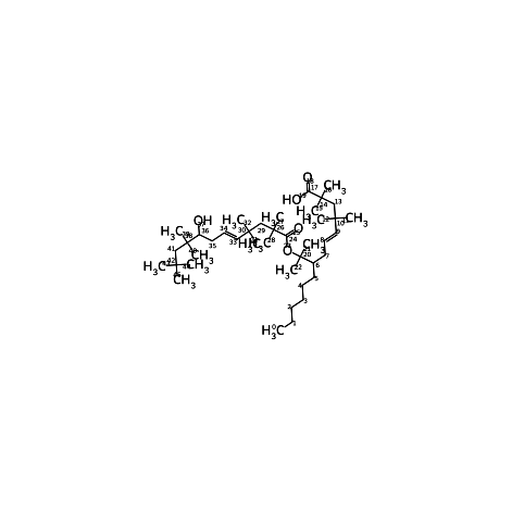 CCCCCCC(C/C=C/C(C)(C)CC(C)(C)C(=O)O)C(C)(C)OC(=O)C(C)(C)CC(C)(C)/C=C/CC(O)C(C)(C)CC(C)(C)C